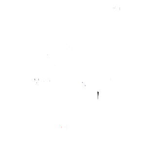 COC(=O)c1sc(C#CC(C)(C)C)cc1N(C(=O)[C@H]1CC[C@H](C)CC1)[C@@H](C)CCO